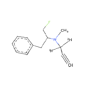 [2H]C([2H])(C#C)N(C)C(CF)Cc1ccccc1